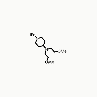 COCCN(CCOC)C1CCN(C(C)C)CC1